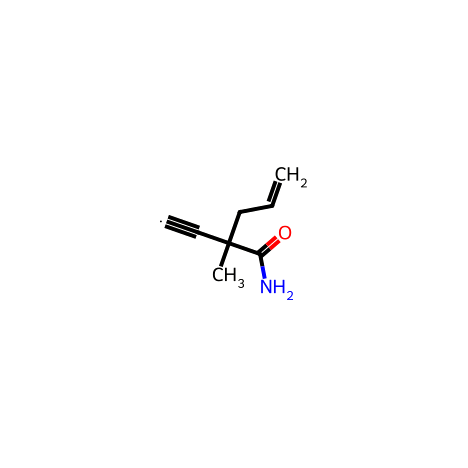 [C]#CC(C)(CC=C)C(N)=O